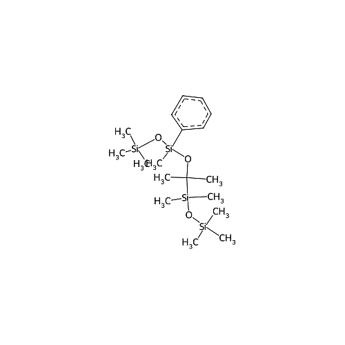 CC(C)(O[Si](C)(O[Si](C)(C)C)c1ccccc1)[Si](C)(C)O[Si](C)(C)C